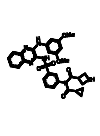 COc1cc(Nc2nc3ccccc3nc2NS(=O)(=O)c2cccc(N(C(=O)C3CC3)C(=O)C3CNC3)c2)cc(OC)c1